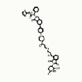 O=C1CCC(N2C(=O)c3cccc(NCCOCCC(=O)N4CCN(c5ccc(-c6ccc7c(c6)C(=O)N(C(C(=O)Nc6nccs6)c6ccccc6)C7)cc5)CC4)c3C2=O)C(O)N1